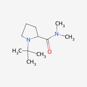 CN(C)C(=O)C1CCCN1C(C)(C)C